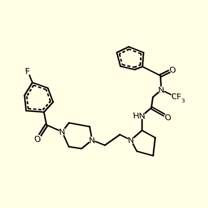 O=C(CN(C(=O)c1ccccc1)C(F)(F)F)NC1CCCN1CCN1CCN(C(=O)c2ccc(F)cc2)CC1